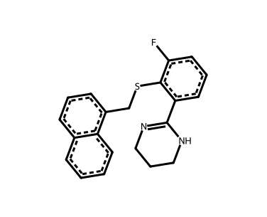 Fc1cccc(C2=NCCCN2)c1SCc1cccc2ccccc12